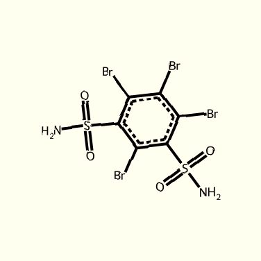 NS(=O)(=O)c1c(Br)c(Br)c(Br)c(S(N)(=O)=O)c1Br